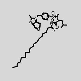 CCCCCCCCCCCCCCCCCc1noc(C(CC(C)C)N(C)S(=O)(=O)c2ccc(Cn3c(C)nc4cnccc43)cc2)n1